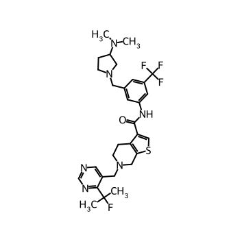 CN(C)C1CCN(Cc2cc(NC(=O)c3csc4c3CCN(Cc3cncnc3C(C)(C)F)C4)cc(C(F)(F)F)c2)C1